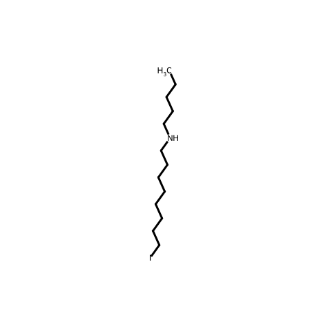 CCCCCNCCCCCCCCI